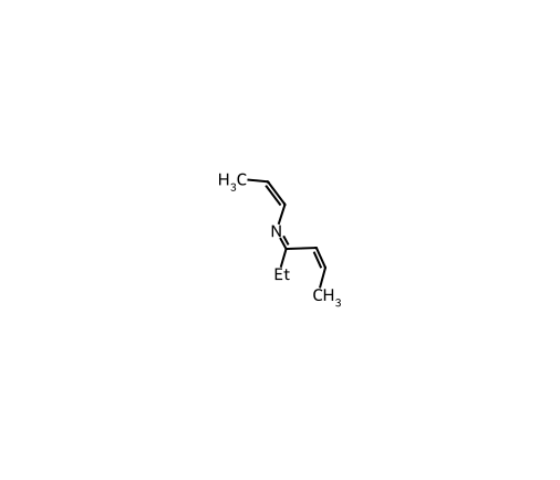 C\C=C/N=C(\C=C/C)CC